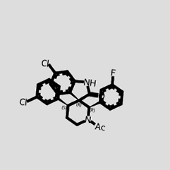 CC(=O)N1CC[C@@H](c2cccc(Cl)c2)[C@]2(C(=O)Nc3cc(Cl)ccc32)[C@H]1c1cccc(F)c1